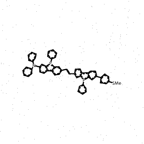 CSc1ccc(-c2ccc3c4ccc(/C=C/c5ccc6c7ccc(N(c8ccccc8)c8ccccc8)cc7p(-c7ccccc7)c6c5)cc4p(-c4ccccc4)c3c2)cc1